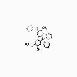 COc1cc2c(cc1C)[Si](c1ccccc1)(c1ccccc1)c1cc(C)c(Oc3ccccc3)cc1-2